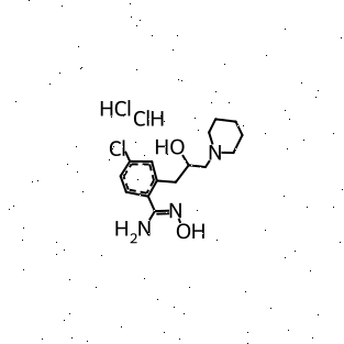 Cl.Cl.NC(=NO)c1ccc(Cl)cc1CC(O)CN1CCCCC1